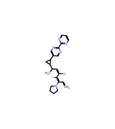 C=C/C(=C(F)\C(Cl)=C/C(C)C1CC1c1cnc(-c2ncccn2)nc1)N1CCCC1